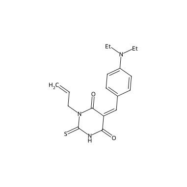 C=CCN1C(=O)/C(=C\c2ccc(N(CC)CC)cc2)C(=O)NC1=S